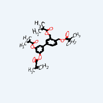 C=C(C)C(=O)OCc1ccc(-c2cc(OC(=O)C(=C)C)cc(OC(=O)C(=C)C)c2)cc1COC(=O)C(=C)C